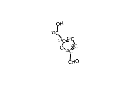 O=[13CH][13c]1[13cH][13cH][13c]([13CH2]O)o1